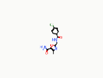 Cc1nc(CNC(=O)c2ccc(Cl)cc2)oc1C(N)=O